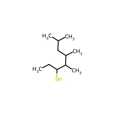 CCC(S)C(C)C(C)CC(C)C